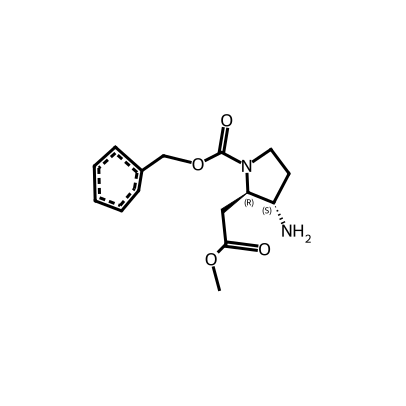 COC(=O)C[C@@H]1[C@@H](N)CCN1C(=O)OCc1ccccc1